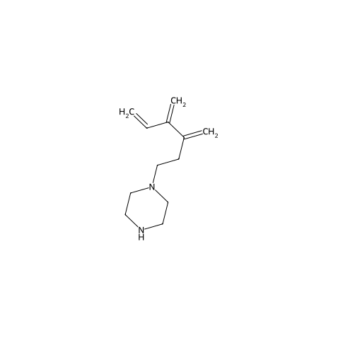 C=CC(=C)C(=C)CCN1CCNCC1